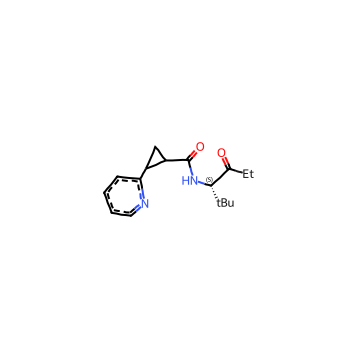 CCC(=O)[C@@H](NC(=O)C1CC1c1ccccn1)C(C)(C)C